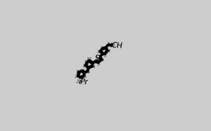 C#CCc1ccc(-c2ccc(-c3cccc(Cc4cccc(C(C)C)c4)c3)s2)cc1